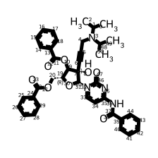 CC(C)N(CC#C[C@]1(O)C(OC(=O)c2ccccc2)[C@@H](COC(=O)c2ccccc2)O[C@H]1n1ccc(NC(=O)c2ccccc2)nc1=O)C(C)C